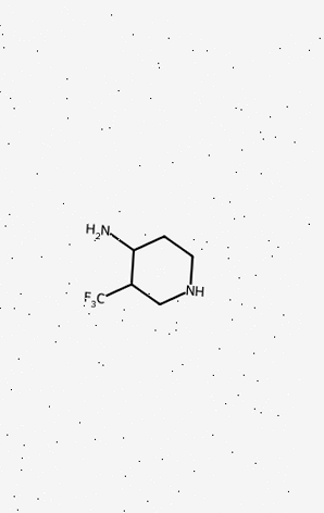 NC1CCNCC1C(F)(F)F